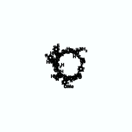 COc1ccc(C[C@@H]2NC(=O)[C@H](Cc3cnc[nH]3)NC(=O)[C@H](CC(=O)O)NC(=O)[C@H](Cc3c[nH]c4cc(F)ccc34)NC(=O)[C@H](Cc3c[nH]c4ccc(F)cc34)NC(=O)[C@@H](C)NC(=O)[C@H](CCCCN)NC(=O)CCc3cn(nn3)-c3ccc(cc3)C[C@@H](C(N)=O)NC(=O)[C@]3(C)CCCN3C2=O)cc1